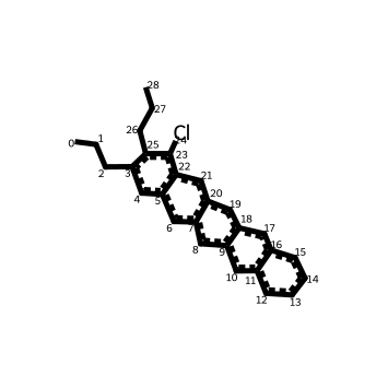 CCCc1cc2cc3cc4cc5ccccc5cc4cc3cc2c(Cl)c1CCC